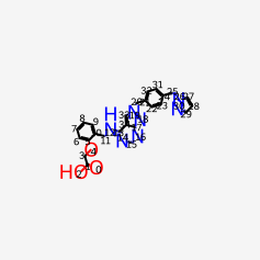 O=C(O)COc1ccccc1CNc1ncnc2nn(Cc3ccc(Cn4cccn4)cc3)cc12